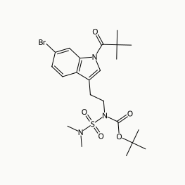 CN(C)S(=O)(=O)N(CCc1cn(C(=O)C(C)(C)C)c2cc(Br)ccc12)C(=O)OC(C)(C)C